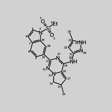 CCS(=O)(=O)n1ccc2ccc(C3=NN4CC(C)C=C4C(Nc4cc(C)[nH]n4)=N3)cc21